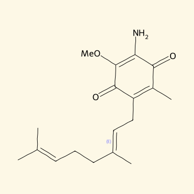 COC1=C(N)C(=O)C(C)=C(C/C=C(\C)CCC=C(C)C)C1=O